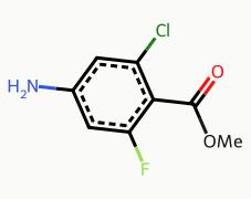 COC(=O)c1c(F)cc(N)cc1Cl